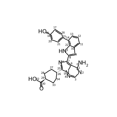 Nc1ncnn2c1c(-c1cc3cccc(-c4ccc(O)cc4)c3[nH]1)nc2[C@H]1CC[C@H](C(=O)O)CC1